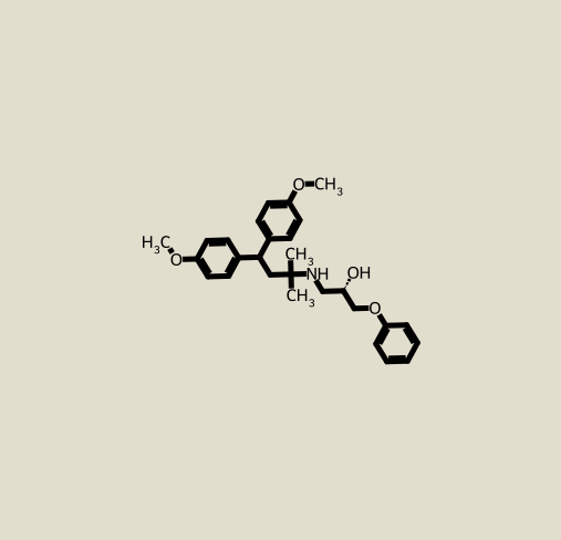 COc1ccc(C(CC(C)(C)NC[C@H](O)COc2ccccc2)c2ccc(OC)cc2)cc1